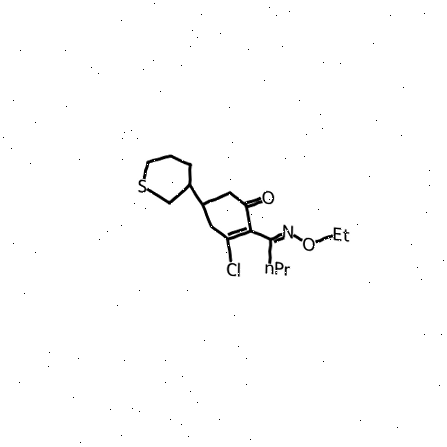 CCCC(=NOCC)C1=C(Cl)CC(C2CCCSC2)CC1=O